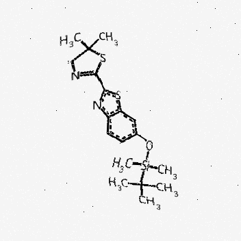 CC1(C)[C]N=C(c2nc3ccc(O[Si](C)(C)C(C)(C)C)cc3s2)S1